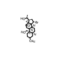 CC(=O)O[C@H]1CC[C@@]2(CO)[C@@H](CC[C@@H]3[C@@H]2CC[C@]2(C)[C@@H]([C@H](C)O)C[C@H](Br)[C@]32O)C1